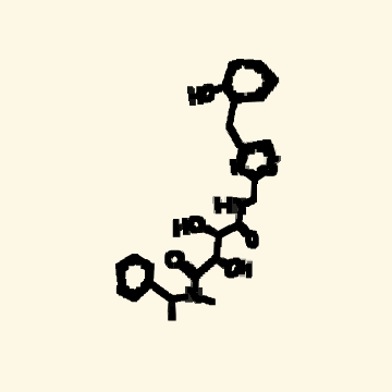 C[C@@H](c1ccccc1)N(C)C(=O)[C@H](O)[C@@H](O)C(=O)NCc1nc(Cc2ccccc2O)cs1